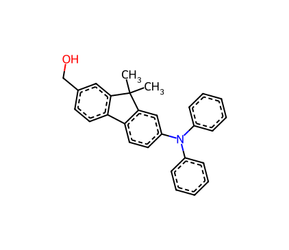 CC1(C)c2cc(CO)ccc2-c2ccc(N(c3ccccc3)c3ccccc3)cc21